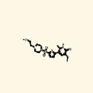 CCc1cc(-c2ccc(S(=O)(=O)N3CCN(CCO)CC3)s2)c(C)[nH]c1=O